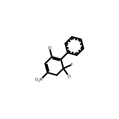 O=[N+]([O-])C1=CC(Cl)=C(c2ccccc2)C(F)(Cl)C1